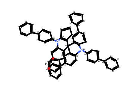 C=C/C=C1\C(=C/c2ccccc2)C2(C3=C(C=CC3)N1c1ccc(-c3ccccc3)cc1)c1cc(-c3ccccc3)ccc1N(c1ccc(-c3ccccc3)cc1)c1ccc(-c3ccccc3)cc12